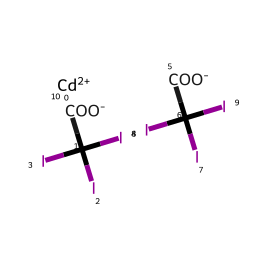 O=C([O-])C(I)(I)I.O=C([O-])C(I)(I)I.[Cd+2]